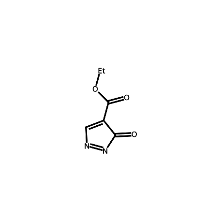 CCOC(=O)C1=CN=NC1=O